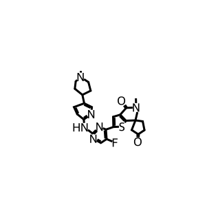 CN1CCC(c2ccc(Nc3ncc(F)c(-c4cc5c(s4)C4(CCC(=O)C4)CN(C)C5=O)n3)nc2)CC1